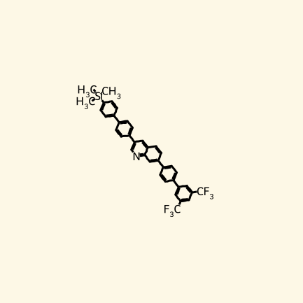 C[Si](C)(C)c1ccc(-c2ccc(-c3cnc4cc(-c5ccc(-c6cc(C(F)(F)F)cc(C(F)(F)F)c6)cc5)ccc4c3)cc2)cc1